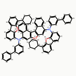 c1ccc(-c2cccc(N(c3cc4oc5cc(N(c6cccc(-c7ccccc7)c6)c6cccc7c6oc6c(C8CCCCC8)cccc67)c6ccccc6c5c4c4ccccc34)c3cccc4c3oc3c(C5CCCCC5)cccc34)c2)cc1